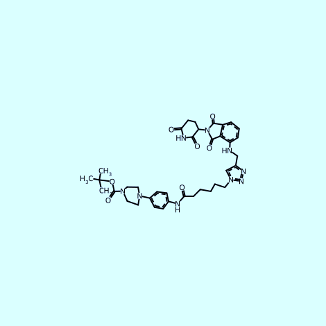 CC(C)(C)OC(=O)N1CCN(c2ccc(NC(=O)CCCCCn3cc(CNc4cccc5c4C(=O)N(C4CCC(=O)NC4=O)C5=O)nn3)cc2)CC1